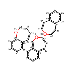 C1=COC=c2ccccc2=C1.C1=COc2ccccc2C=C1.C1=Cc2ccccc2C=CO1